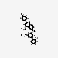 Nc1nc(Nc2ccc3nc(-c4ccc(F)cc4)cc(N)c3c2)cc(-c2ccccc2Cl)n1